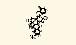 CCCC[C@H]1CN(c2cccc(C)c2C)C(=O)CN1C(Cc1ccc(C#N)cc1)c1cnc[nH]1